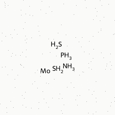 N.P.S.S.[Mo]